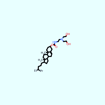 CCC(CCCC1CCC2C3CC=C4CC(OC(=O)NCCN(CCO)CCO)CCC4(C)C3CCC12C)C(C)C